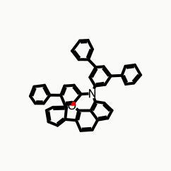 c1ccc(-c2ccc(N(c3cc(-c4ccccc4)cc(-c4ccccc4)c3)c3cccc4ccc5c6ccccc6oc5c34)cc2)cc1